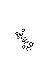 c1ccc(-c2cc(-c3ccccc3-c3ccccc3)nc(-c3ccc4c(c3)Oc3ccc5c(c3O4)-c3ccccc3C5(c3ccccc3)c3ccccc3)n2)cc1